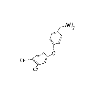 NCc1ccc(Oc2ccc(Cl)c(Cl)c2)cc1